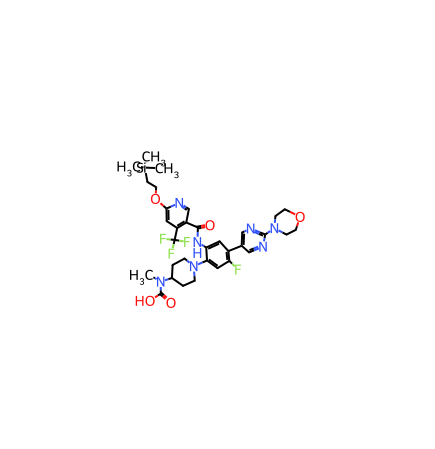 CN(C(=O)O)C1CCN(c2cc(F)c(-c3cnc(N4CCOCC4)nc3)cc2NC(=O)c2cnc(OCC[Si](C)(C)C)cc2C(F)(F)F)CC1